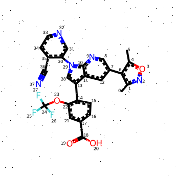 Cc1noc(C)c1-c1cnc2c(c1)c(-c1ccc(C(=O)O)cc1OC(F)(F)F)cn2-c1cnccc1C#N